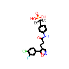 CCC(CC)(c1ccc(NC(=O)CCc2cnoc2-c2ccc(Cl)c(F)c2)cc1)P(=O)(O)O